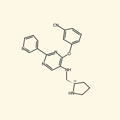 [C-]#[N+]c1cccc(Oc2nc(-c3cccnc3)ncc2NC[C@@H]2CCCN2)c1